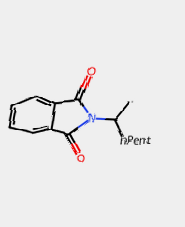 [CH2]C(CCCCC)N1C(=O)c2ccccc2C1=O